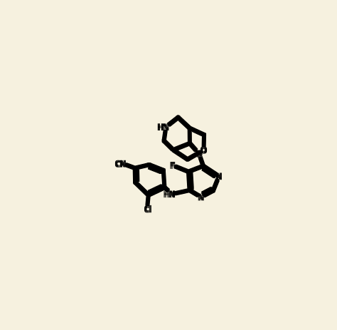 [C-]#[N+]c1ccc(Nc2ncnc(OC3C4CNCC3COC4)c2F)c(Cl)c1